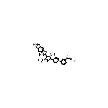 CN1N=C(c2ccc(-c3cccc(C(N)=O)c3)cc2)C(O)C1c1nc2cc3c(cc2[nH]1)CNC3